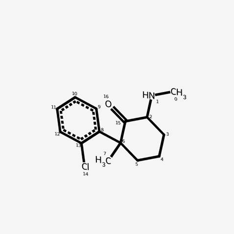 CNC1CCCC(C)(c2ccccc2Cl)C1=O